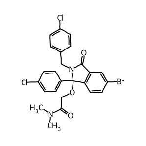 CN(C)C(=O)COC1(c2ccc(Cl)cc2)c2ccc(Br)cc2C(=O)N1Cc1ccc(Cl)cc1